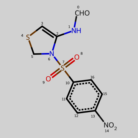 O=CNC1=CSCN1S(=O)(=O)c1ccc([N+](=O)[O-])cc1